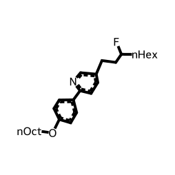 CCCCCCCCOc1ccc(-c2ccc(CCC(F)CCCCCC)cn2)cc1